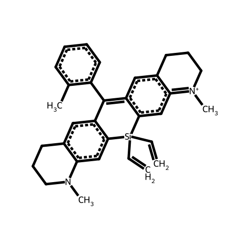 C=C[Si]1(C=C)c2cc3c(cc2C(c2ccccc2C)=c2cc4c(cc21)=[N+](C)CCC4)CCCN3C